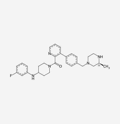 C[C@H]1CN(Cc2ccc(-c3cccnc3C(=O)N3CCC(Nc4cccc(F)c4)CC3)cc2)CCN1